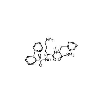 NCCC[C@H](NS(=O)(=O)c1ccccc1-c1ccccc1)C(=O)N[C@@H](Cc1ccccc1)C(N)=O